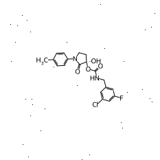 Cc1ccc(N2CC[C@@](O)(OC(=O)NCc3cc(F)cc(Cl)c3)C2=O)cc1